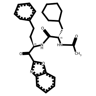 CC(=O)N[C@@H](CC1CCCCC1)C(=O)N[C@H](CCc1ccccc1)C(=O)c1nc2ccccc2o1